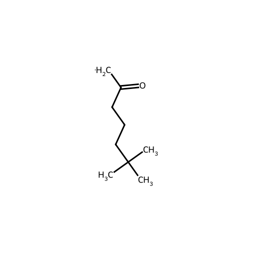 [CH2]C(=O)CCCC(C)(C)C